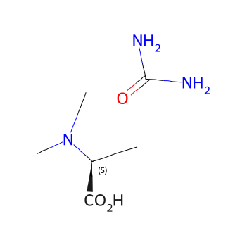 C[C@@H](C(=O)O)N(C)C.NC(N)=O